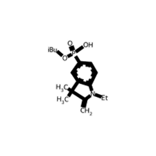 C=C1N(CC)c2ccc(P(=O)(O)OC(C)CC)cc2C1(C)C